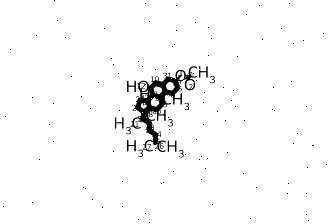 CC(=O)O[C@H]1CC[C@@]2(C)C(=CC(O)C3C2CC[C@]2(C)C([C@H](C)CCCC(C)C)CC[C@@H]32)C1